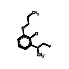 [CH2]C(CF)c1cccc(OCCC)c1Cl